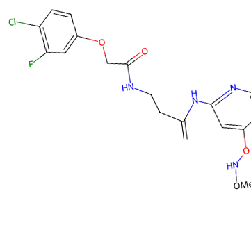 C=C(CCNC(=O)COc1ccc(Cl)c(F)c1)Nc1cc(ONOC)ccn1